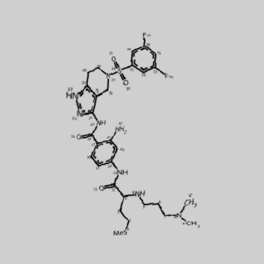 CSCC[C@H](NCCCN(C)C)C(=O)Nc1ccc(C(=O)Nc2n[nH]c3c2CN(S(=O)(=O)c2cc(F)cc(F)c2)CC3)c(N)c1